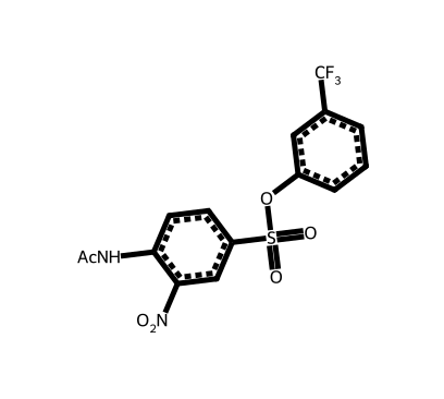 CC(=O)Nc1ccc(S(=O)(=O)Oc2cccc(C(F)(F)F)c2)cc1[N+](=O)[O-]